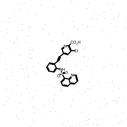 CCc1cc(C#Cc2ccccc2NS(=O)(=O)c2cccc3cccnc23)cnc1C(=O)O